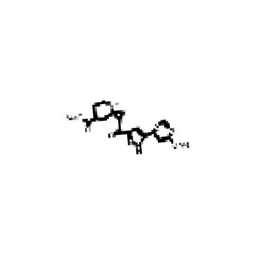 COC(=O)C1CCNC2(C1)CC2C(=O)c1cc(-c2cc(OC)ncn2)[nH]n1